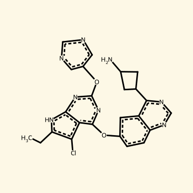 CCc1[nH]c2nc(Oc3cncnc3)nc(Oc3ccc4ncnc(C5CC(N)C5)c4c3)c2c1Cl